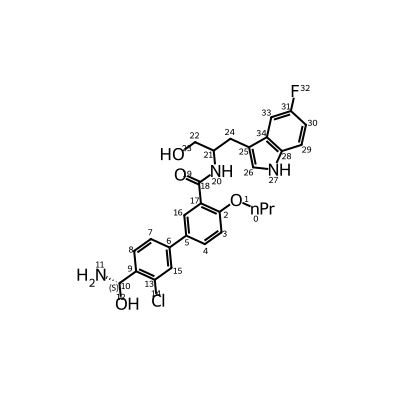 CCCOc1ccc(-c2ccc([C@@H](N)O)c(Cl)c2)cc1C(=O)NC(CO)Cc1c[nH]c2ccc(F)cc12